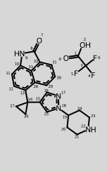 O=C(O)C(F)(F)F.O=C1Nc2ccc(C3(c4cnn(C5CCNCC5)c4)CC3)c3cccc1c23